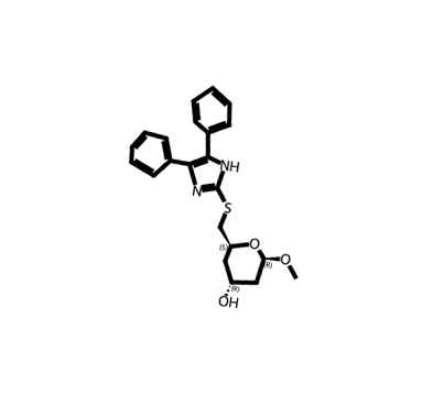 CO[C@H]1C[C@H](O)C[C@@H](CSc2nc(-c3ccccc3)c(-c3ccccc3)[nH]2)O1